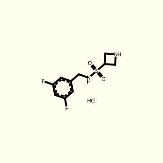 Cl.O=S(=O)(NCc1cc(F)cc(F)c1)C1CNC1